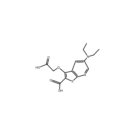 CCN(CC)c1cnc2sc(C(=O)O)c(OCC(=O)O)c2c1